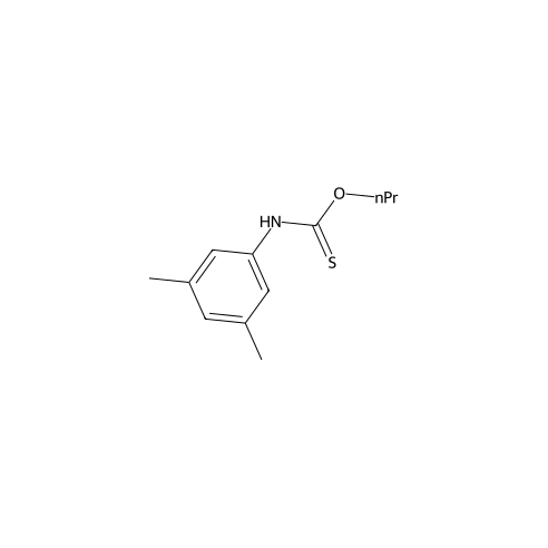 CCCOC(=S)Nc1cc(C)cc(C)c1